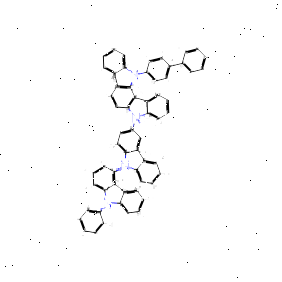 c1ccc(-c2ccc(-n3c4ccccc4c4ccc5c(c6ccccc6n5-c5ccc6c(c5)c5ccccc5n6-c5cccc6c5c5ccccc5n6-c5ccccc5)c43)cc2)cc1